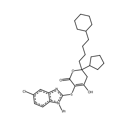 CC(C)n1c(SC2=C(O)CC(CCCCC3CCCCC3)(C3CCCC3)OC2=O)nc2cc(Cl)ccc21